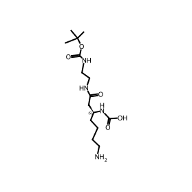 CC(C)(C)OC(=O)NCCNC(=O)C[C@H](CCCCN)NC(=O)O